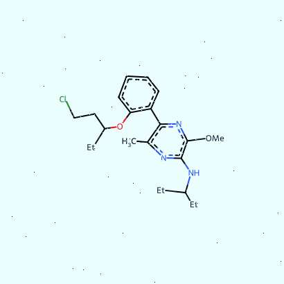 CCC(CC)Nc1nc(C)c(-c2ccccc2OC(CC)CCCl)nc1OC